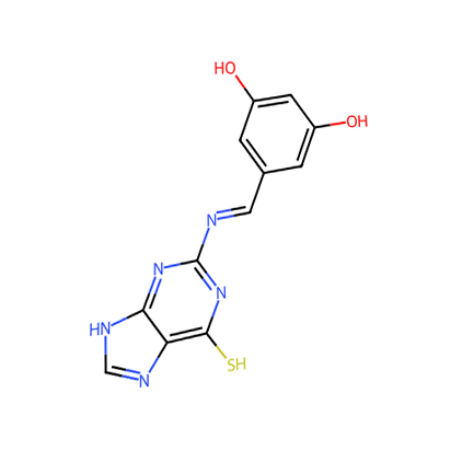 Oc1cc(O)cc(/C=N/c2nc(S)c3nc[nH]c3n2)c1